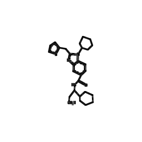 O=C(O)CC(NC(=O)c1ccc2c(c1)nc(Cc1cccs1)n2C1CCCCC1)C1CCCCC1